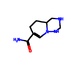 NC(=O)C1=CN2NCNCC2CC1